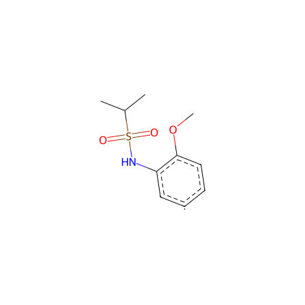 COc1cc[c]cc1NS(=O)(=O)C(C)C